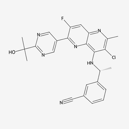 Cc1nc2cc(F)c(-c3cnc(C(C)(C)O)nc3)nc2c(N[C@H](C)c2cccc(C#N)c2)c1Cl